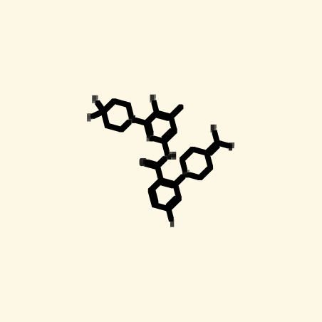 Cc1cc(NC(=O)c2ccc(I)cc2N2CCC(=C(F)F)CC2)nc(N2CCC(F)(F)CC2)c1F